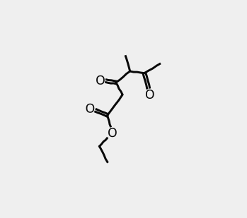 CCOC(=O)CC(=O)C(C)C(C)=O